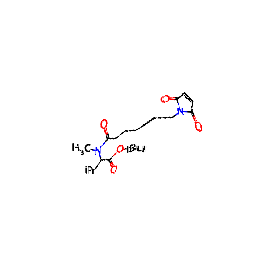 CC(C)C(C(=O)OC(C)(C)C)N(C)C(=O)CCCCCN1C(=O)C=CC1=O